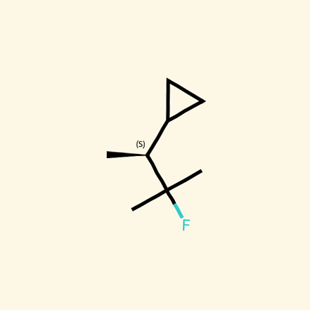 C[C@@H](C1CC1)C(C)(C)F